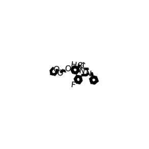 C[C@@H]1CN(Cc2ccccc2)C[C@@H](c2ccc(F)cc2)N1c1ccc(OCCOC2CCCCO2)cc1Cl